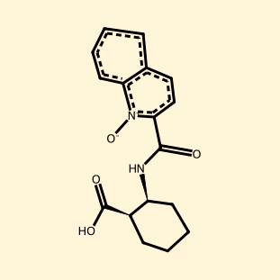 O=C(N[C@H]1CCCC[C@H]1C(=O)O)c1ccc2ccccc2[n+]1[O-]